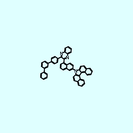 c1ccc(-c2cccc(-c3ccc(-c4nc5ccccc5nc4-c4cccc5cc(-n6c7ccc8ccccc8c7c7c8ccccc8ccc76)ccc45)cc3)c2)cc1